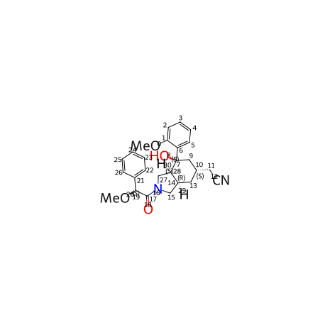 COc1ccccc1[C@]1(O)C[C@H](CC#N)C[C@H]2CN(C(=O)[C@@H](OC)c3ccccc3)C[C@H]21